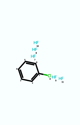 Clc1ccccc1.F.F.F.F.F